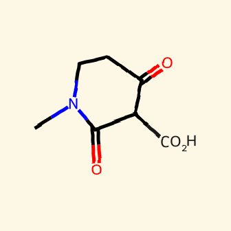 CN1CCC(=O)C(C(=O)O)C1=O